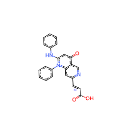 O=C(O)/C=C/c1cc2c(cn1)c(=O)cc(Nc1ccccc1)n2-c1ccccc1